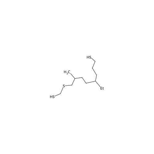 CCC(CCCS)CCC(C)CSCS